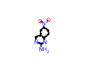 Nc1ncc2cc([N+](=O)[O-])ccc2n1